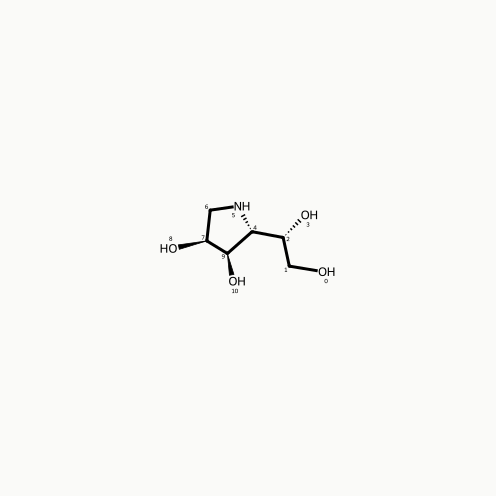 OC[C@@H](O)[C@H]1NC[C@H](O)[C@@H]1O